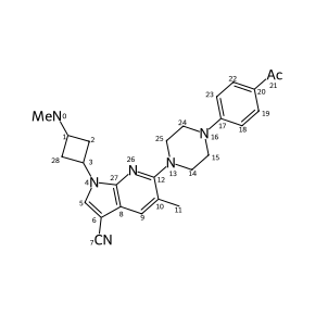 CNC1CC(n2cc(C#N)c3cc(C)c(N4CCN(c5ccc(C(C)=O)cc5)CC4)nc32)C1